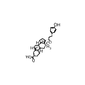 C[C@]12CC[C@H]3[C@@H](CC=C4C=C(C(=O)O)CC[C@@]43C)[C@@H]1CC[C@@H]2C(=O)CCc1ccc(O)cc1